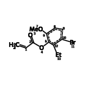 C=CC(=O)Oc1c(OC)ccc(Br)c1CC